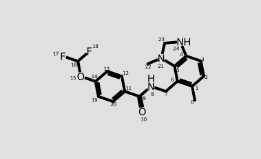 Cc1ccc2c(c1CNC(=O)c1ccc(OC(F)F)cc1)N(C)CN2